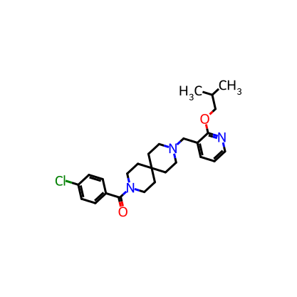 CC(C)COc1ncccc1CN1CCC2(CC1)CCN(C(=O)c1ccc(Cl)cc1)CC2